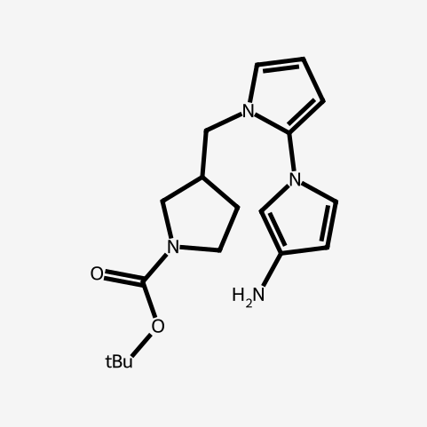 CC(C)(C)OC(=O)N1CCC(Cn2cccc2-n2ccc(N)c2)C1